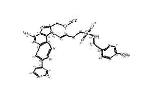 CCOCc1nc2c(N)nc3cc(-c4cccnc4)ccc3c2n1CCCCS(=O)(=O)NCc1ccc(OC)cc1